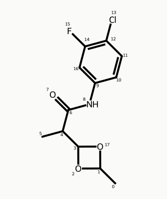 CC1OC(C(C)C(=O)Nc2ccc(Cl)c(F)c2)O1